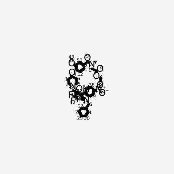 CCOC(=O)CN(C)C(=O)c1ccc(OC2CCN(CC(O)(c3cn(Cc4ccccc4)c4cc([N+](=O)[O-])ccc34)C(F)(F)F)CC2)c(OC)c1